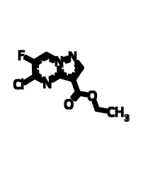 CCOC(=O)c1cnn2cc(F)c(Cl)nc12